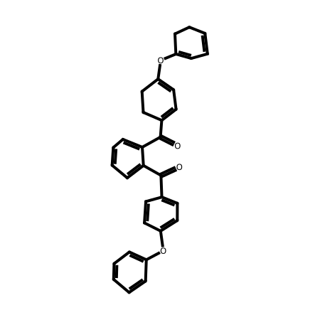 O=C(C1=CC=C(OC2=CC=CCC2)CC1)c1ccccc1C(=O)c1ccc(Oc2ccccc2)cc1